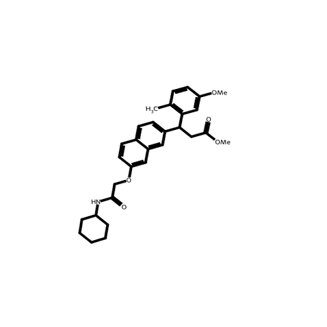 COC(=O)CC(c1ccc2ccc(OCC(=O)NC3CCCCC3)cc2c1)c1cc(OC)ccc1C